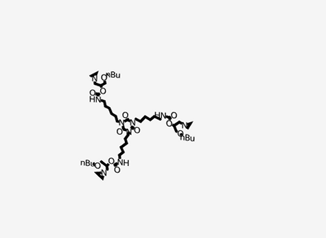 CCCCOCC(CN1CC1)OC(=O)NCCCCCCn1c(=O)n(CCCCCCNC(=O)OC(COCCCC)CN2CC2)c(=O)n(CCCCCCNC(=O)OC(COCCCC)CN2CC2)c1=O